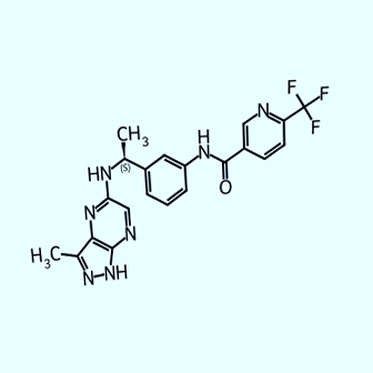 Cc1n[nH]c2ncc(N[C@@H](C)c3cccc(NC(=O)c4ccc(C(F)(F)F)nc4)c3)nc12